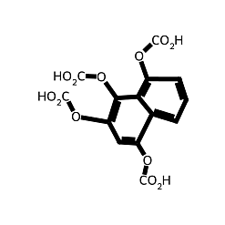 O=C(O)Oc1cc(OC(=O)O)c2cccc(OC(=O)O)c2c1OC(=O)O